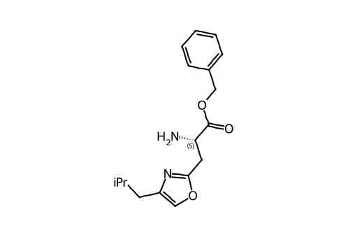 CC(C)Cc1coc(C[C@H](N)C(=O)OCc2ccccc2)n1